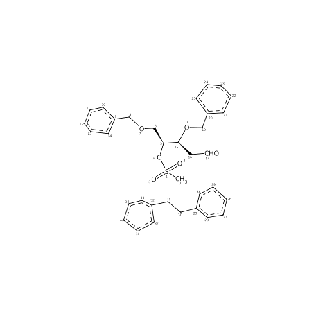 CS(=O)(=O)O[C@@H](COCc1ccccc1)[C@H](CC=O)OCc1ccccc1.c1ccc(CCc2ccccc2)cc1